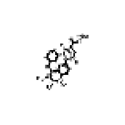 CC(=O)N1c2ccc(N3C[C@H]4CC[C@@H]3CN4C(=O)OC(C)(C)C)cc2C(Nc2ccccc2)[C@@H](C)[C@@H]1C